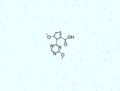 COc1ncnc(-c2c(OC)csc2C(=O)O)n1